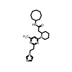 Cc1cc(N2CCCCC2CC(=O)NC2CCCCCCC2)nc(CCn2ccnc2)n1